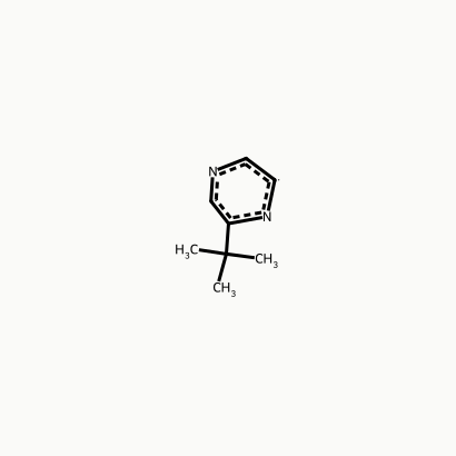 CC(C)(C)c1cnc[c]n1